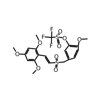 COc1cc(OC)c(C=CS(=O)(=O)Cc2ccc(OC)c(OS(=O)(=O)C(F)(F)F)c2)c(OC)c1